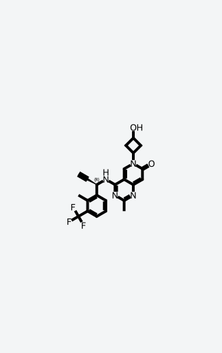 C#C[C@@H](Nc1nc(C)nc2cc(=O)n(C3CC(O)C3)cc12)c1cccc(C(F)(F)F)c1C